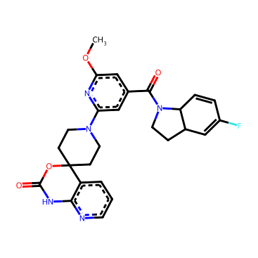 COc1cc(C(=O)N2CCC3C=C(F)C=CC32)cc(N2CCC3(CC2)OC(=O)Nc2ncccc23)n1